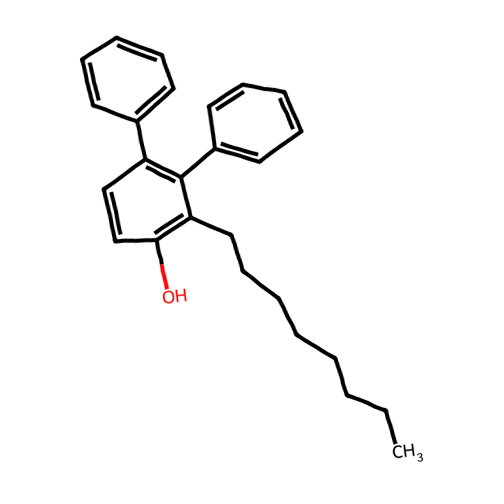 CCCCCCCCc1c(O)ccc(-c2ccccc2)c1-c1ccccc1